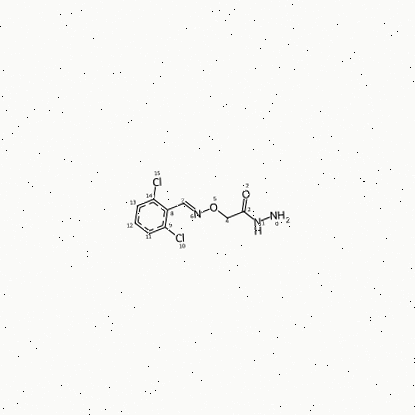 NNC(=O)CON=Cc1c(Cl)cccc1Cl